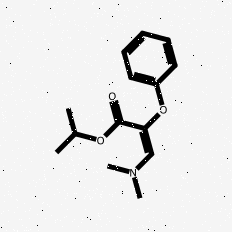 CC(C)OC(=O)C(=CN(C)C)Oc1ccccc1